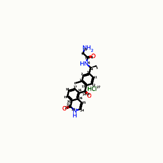 Cc1cc([C@H](C)NC(=O)CN)ccc1C(=O)c1cccc2c(=O)[nH]ccc12.Cl